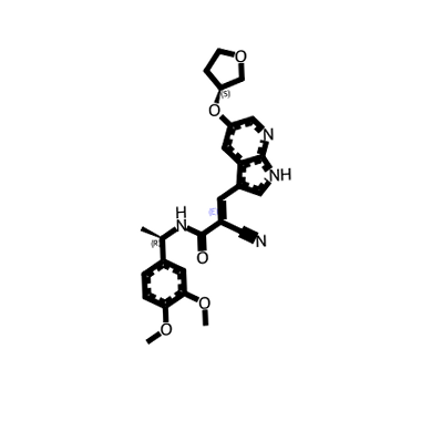 COc1ccc([C@@H](C)NC(=O)/C(C#N)=C/c2c[nH]c3ncc(O[C@H]4CCOC4)cc23)cc1OC